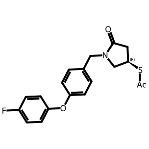 CC(=O)S[C@@H]1CC(=O)N(Cc2ccc(Oc3ccc(F)cc3)cc2)C1